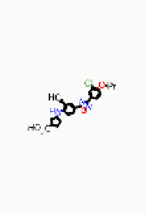 C#Cc1cc(-c2nc(-c3ccc(OC(C)C)c(Cl)c3)no2)ccc1N[C@H]1CC[C@@H](C(=O)O)C1